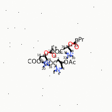 CC(=O)O[C@H](CC(=O)[O-])C[N+](C)(C)C.CCC(=O)O[C@H](CC(=O)[O-])C[N+](C)(C)C.CCCC(=O)O[C@H](CC(=O)[O-])C[N+](C)(C)C